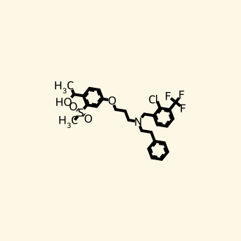 CC(O)c1ccc(OCCCN(CCc2ccccc2)Cc2cccc(C(F)(F)F)c2Cl)cc1S(C)(=O)=O